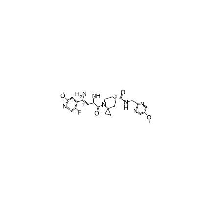 COc1cnc(CNC(=O)[C@H]2CCN(C(=O)C(=N)/C=C(\N)c3cc(OC)ncc3F)C3(CC3)C2)nc1